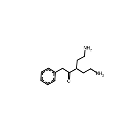 NCCC(CCN)C(=O)Cc1ccccc1